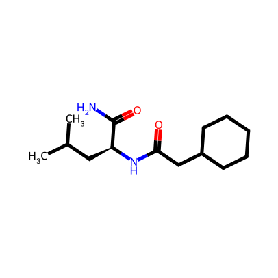 CC(C)C[C@H](NC(=O)CC1CCCCC1)C(N)=O